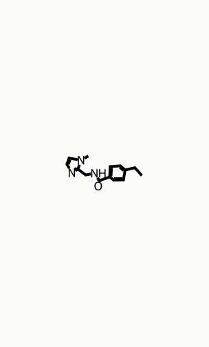 CCc1ccc(C(=O)NCc2nccn2C)cc1